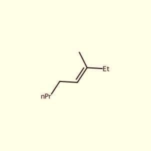 CCCCC=C(C)CC